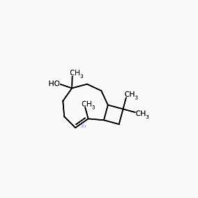 C/C1=C\CCC(C)(O)CCC2C1CC2(C)C